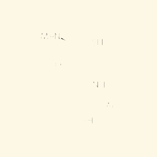 CN[C@@H](CS)C(=O)CCNC(CS)C(C)=O